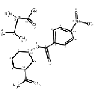 C=C(C)[C@H]1CCC[C@H](OC(=O)c2ccc([N+](=O)[O-])cc2)C1.CC(C)[C@H](N)C(=O)O